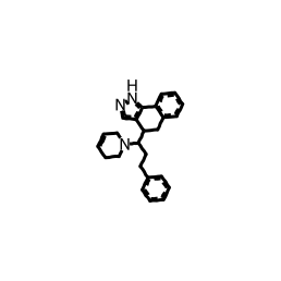 C1=CCN(C(CCc2ccccc2)C2Cc3ccccc3-c3[nH]ncc32)CC1